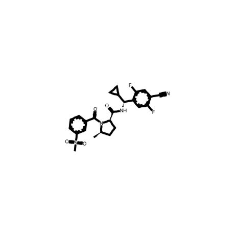 C[C@@H]1CC[C@H](C(=O)N[C@@H](c2cc(F)c(C#N)cc2F)C2CC2)N1C(=O)c1cccc(S(C)(=O)=O)c1